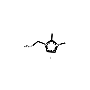 CCCCCCn1cc[n+](C)c1I.[I-]